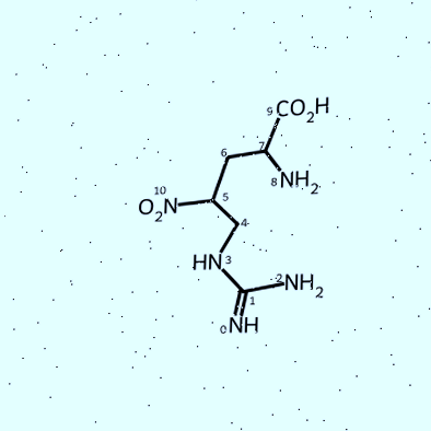 N=C(N)NCC(CC(N)C(=O)O)[N+](=O)[O-]